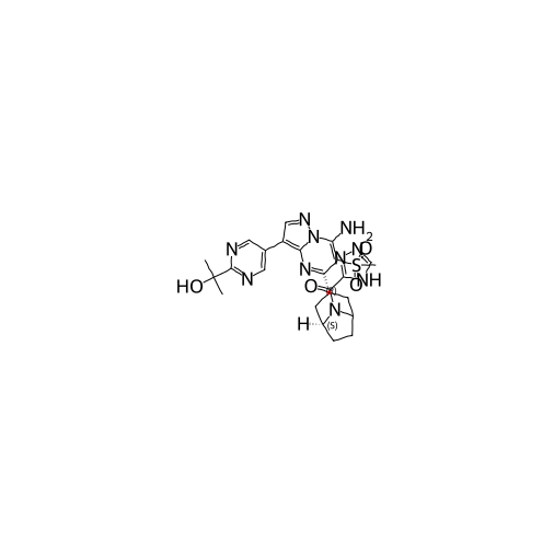 CC(C)(O)c1ncc(-c2cnn3c(N)c(S(C)(=O)=O)c([C@@H]4CC5CC[C@@H](C4)N5C(=O)c4nnc[nH]4)nc23)cn1